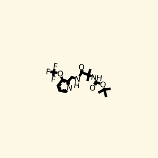 CC(C)(C)OC(=O)NC(C)(C)C(=O)NCc1ncccc1OC(F)(F)F